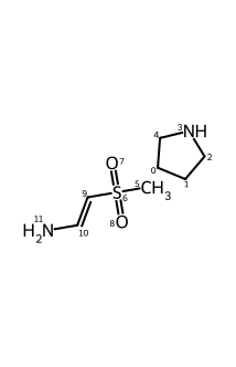 C1CCNC1.CS(=O)(=O)C=CN